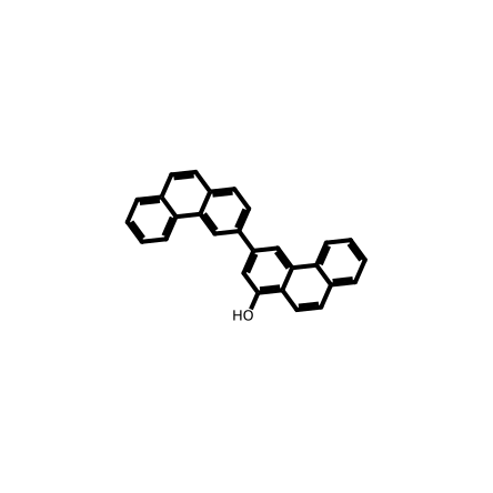 Oc1cc(-c2ccc3ccc4ccccc4c3c2)cc2c1ccc1ccccc12